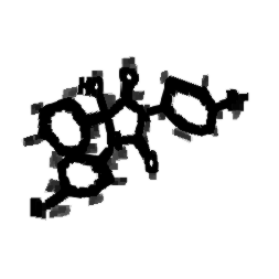 O=C1N(c2ccc(Br)cc2)C(=O)C(O)(c2ccccc2)N1c1ccc(Br)cc1